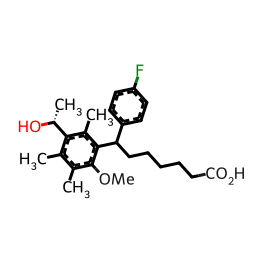 COc1c(C)c(C)c([C@@H](C)O)c(C)c1C(CCCCCC(=O)O)c1ccc(F)cc1